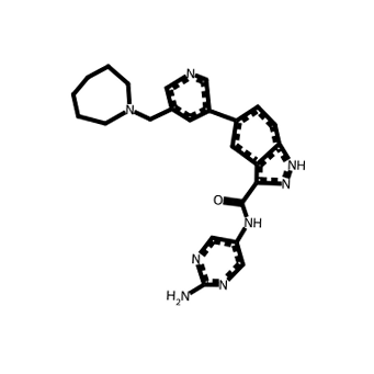 Nc1ncc(NC(=O)c2n[nH]c3ccc(-c4cncc(CN5CCCCCC5)c4)cc23)cn1